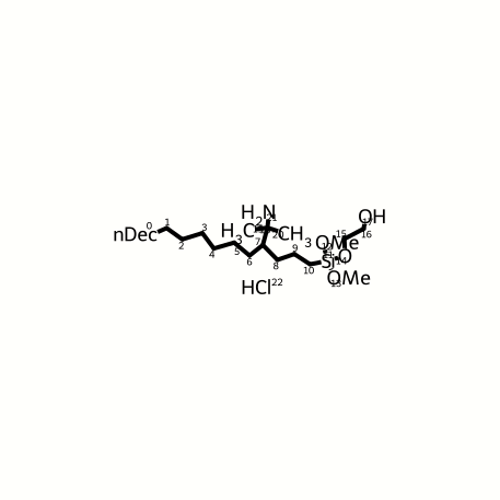 CCCCCCCCCCCCCCCCC(CCC[Si](OC)(OC)OCCO)C(C)(C)N.Cl